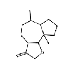 C=C1COC2C1CCC(C)C1CCCC12C